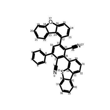 N#Cc1c(-c2ccccc2)cc(-c2cccc3oc4ccccc4c23)c(C#N)c1-c1cccc2c1sc1ccccc12